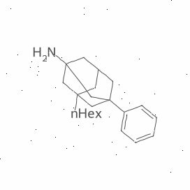 CCCCCCC12CC3CC(N)(C1)CC(c1ccccc1)(C3)C2